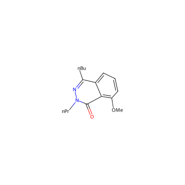 CCCCc1nn(CCC)c(=O)c2c(OC)cccc12